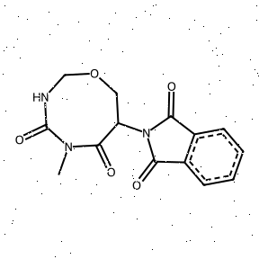 CN1C(=O)NCOCC(N2C(=O)c3ccccc3C2=O)C1=O